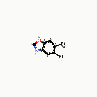 CCc1cc2n[c]oc2cc1CC